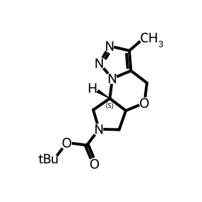 Cc1nnn2c1COC1CN(C(=O)OC(C)(C)C)C[C@@H]12